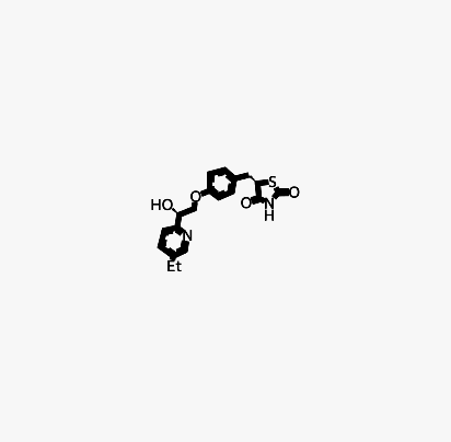 CCc1ccc([C@H](O)COc2ccc(C[C@@H]3SC(=O)NC3=O)cc2)nc1